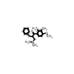 COc1ccc(C(=O)C(Cc2ccccc2)CN(C)C)c(C)c1C